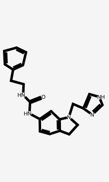 O=C(NCCc1ccccc1)Nc1ccc2c(c1)N(Cc1c[nH]cn1)CC2